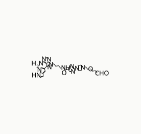 Nc1ncnc2c1c(-c1cnc3[nH]ccc3c1)nn2CCCCNC(=O)c1cnc(N2CCN(CCOCCC=O)CC2)nc1